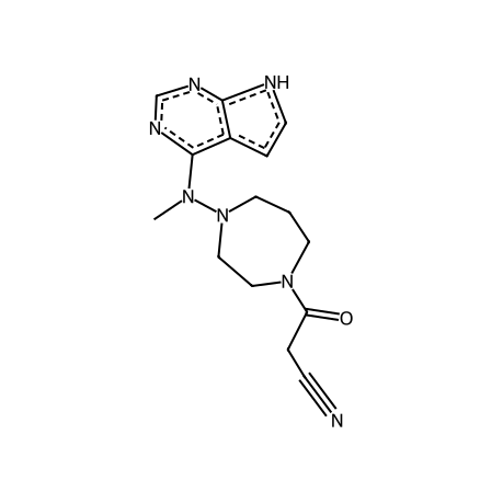 CN(c1ncnc2[nH]ccc12)N1CCCN(C(=O)CC#N)CC1